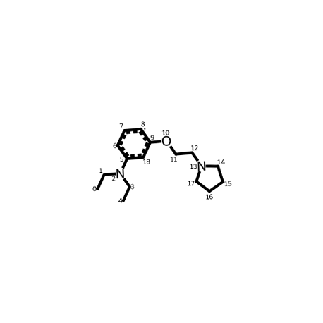 CCN(CC)c1cc[c]c(OCCN2CCCC2)c1